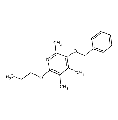 CCCOc1nc(C)c(OCc2ccccc2)c(C)c1C